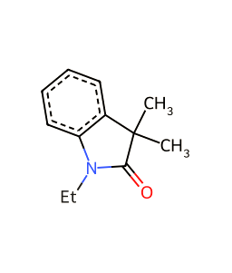 CCN1C(=O)C(C)(C)c2ccccc21